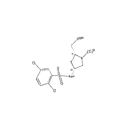 COC[C@H]1C[C@@H](NS(=O)(=O)c2cc(Cl)ccc2Cl)CN1C(=O)O